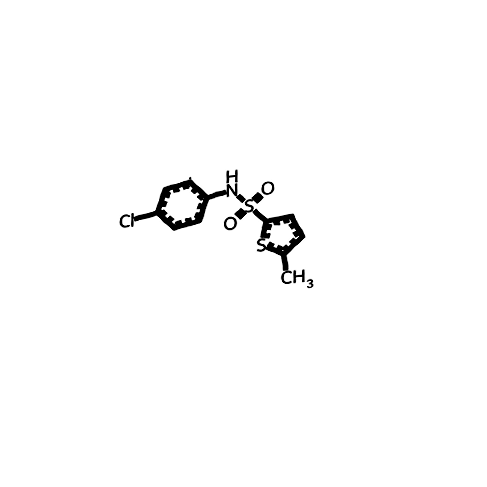 Cc1ccc(S(=O)(=O)Nc2[c]cc(Cl)cc2)s1